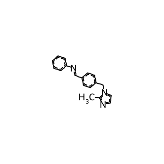 Cc1nccn1Cc1ccc(C=Nc2ccccc2)cc1